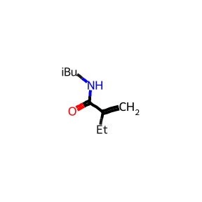 C=C(CC)C(=O)NC(C)CC